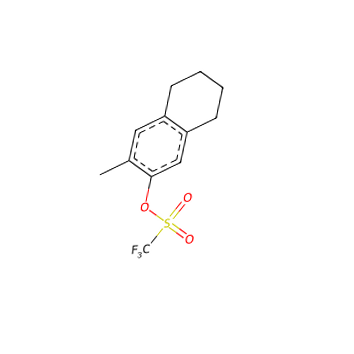 Cc1cc2c(cc1OS(=O)(=O)C(F)(F)F)CCCC2